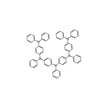 c1ccc(N(c2ccccc2)c2ccc(N(c3ccccc3)c3ccc(N(c4ccccc4)c4ccc(N(c5ccccc5)c5ccc(N(c6ccccc6)c6ccccc6)cc5)cc4)cc3)cc2)cc1